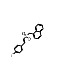 O=S(=O)(C=Cc1ccc(F)cc1)Cc1cccc2ccccc12